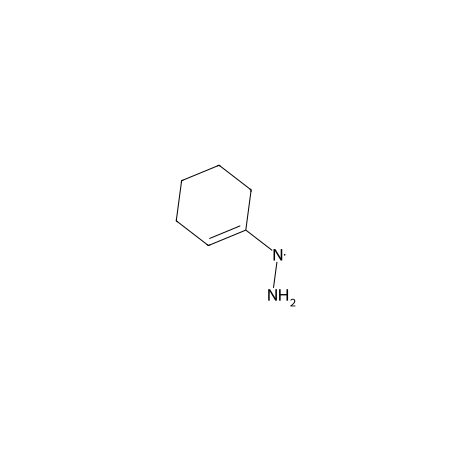 N[N]C1=CCCCC1